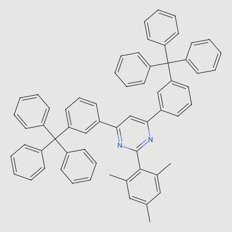 Cc1cc(C)c(-c2nc(-c3cccc(C(c4ccccc4)(c4ccccc4)c4ccccc4)c3)cc(-c3cccc(C(c4ccccc4)(c4ccccc4)c4ccccc4)c3)n2)c(C)c1